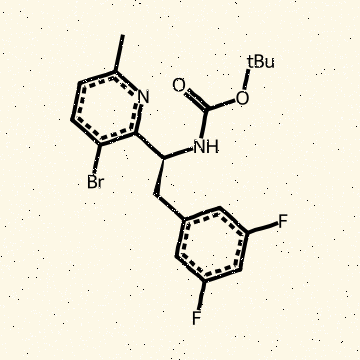 Cc1ccc(Br)c([C@H](Cc2cc(F)cc(F)c2)NC(=O)OC(C)(C)C)n1